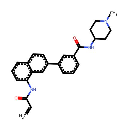 C=CC(=O)Nc1cccc2ccc(-c3cccc(C(=O)NC4CCN(C)CC4)c3)cc12